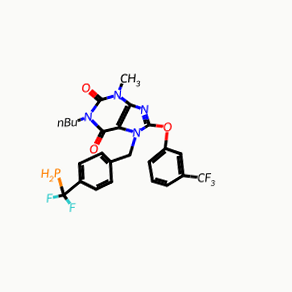 CCCCn1c(=O)c2c(nc(Oc3cccc(C(F)(F)F)c3)n2Cc2ccc(C(F)(F)P)cc2)n(C)c1=O